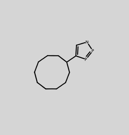 C1=C(C2CCCCCCCCC2)P=P[N]1